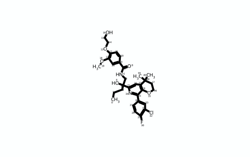 CCCC(O)(CNC(=O)c1ccc(OCCO)c(OC)c1)c1cc2c(c(-c3ccc(F)c(Cl)c3)n1)OCCC2(C)C